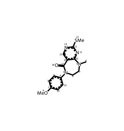 COc1ccc(N2CCN(C)c3nc(SC)ncc3C2=O)cc1